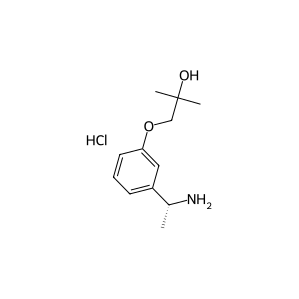 C[C@@H](N)c1cccc(OCC(C)(C)O)c1.Cl